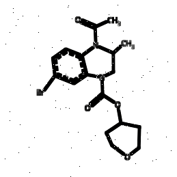 CC(=O)N1c2ccc(Br)cc2N(C(=O)OC2CCOCC2)CC1C